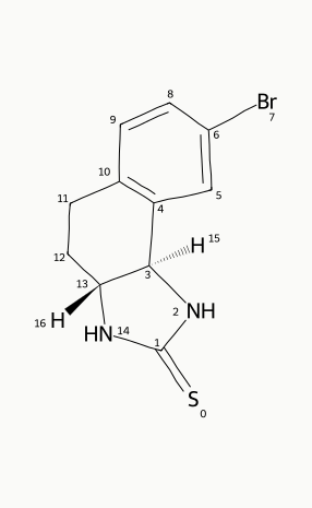 S=C1N[C@@H]2c3cc(Br)ccc3CC[C@H]2N1